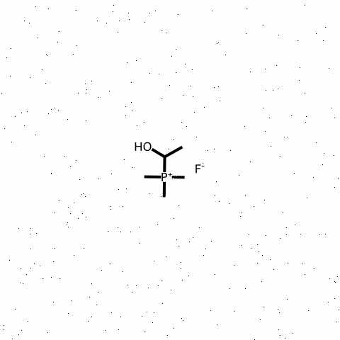 CC(O)[P+](C)(C)C.[F-]